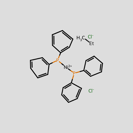 CCC.[Cl-].[Cl-].c1ccc([P]([Ni+2][P](c2ccccc2)c2ccccc2)c2ccccc2)cc1